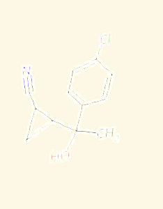 CC(O)(c1ccc(Cl)cc1)C1CC1C#N